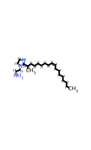 CCCCCCCC/C=C\CCCCCCC(C)C1=NCCN1CCN